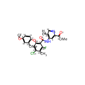 COC(=O)c1cc(NC(=O)c2c(Oc3ccc(OC(F)(F)F)cc3OC)cc(Cl)c(C)c2F)c(C)cn1